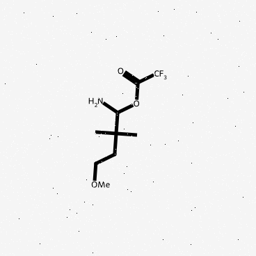 COCCC(C)(C)C(N)OC(=O)C(F)(F)F